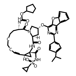 CC(C)c1ccc(-c2nc(O[C@@H]3C[C@H]4C(=O)N[C@]5(C(=O)NS(=O)(=O)C6CC6)C[C@H]5/C=C\CCCCC[C@H](NC(=O)OC5CCCC5)C(=O)N4C3)c3oc4ccccc4c3n2)cc1